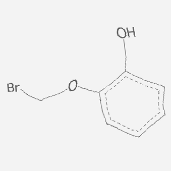 Oc1ccccc1OCBr